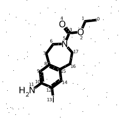 CCOC(=O)N1CCc2cc(N)c(I)cc2CC1